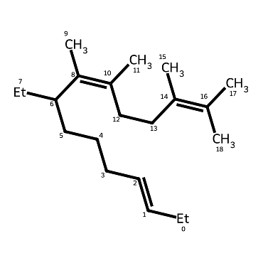 CCC=CCCCC(CC)C(C)=C(C)CCC(C)=C(C)C